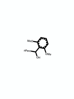 CCCCCC(O)c1c(OC)cccc1OC